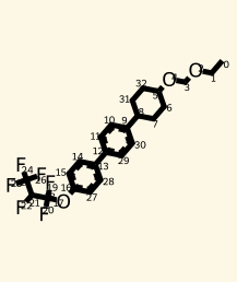 CCOCOC1CCC(c2ccc(-c3ccc(OC(F)(F)C(F)C(F)(F)F)cc3)cc2)CC1